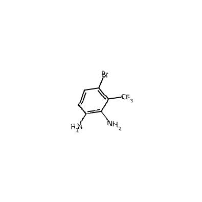 Nc1ccc(Br)c(C(F)(F)F)c1N